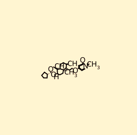 C=C1CCC2[C@]3(C)CO[C@@H](C4CCCC4)O[C@@H]3CC[C@@]2(C)[C@@H]1CCOc1ccn(C)c(=O)c1